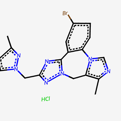 Cc1ccn(Cc2nc3n(n2)Cc2c(C)ncn2-c2ccc(Br)cc2-3)n1.Cl